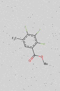 CCC(C)OC(=O)c1cc(C(F)(F)F)c(F)c(F)c1F